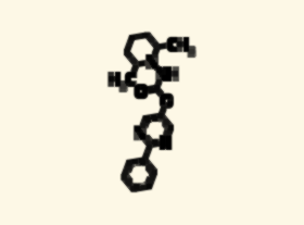 CC1CCCC(C)N1NC(=O)Oc1cnc(-c2ccccc2)nc1